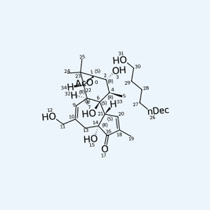 CC(=O)O[C@@]12[C@H](O)[C@@H](C)[C@@]3(O)[C@@H](C=C(CO)C[C@]4(O)C(=O)C(C)=C[C@@H]34)[C@@H]1C2(C)C.CCCCCCCCCCCCCCO